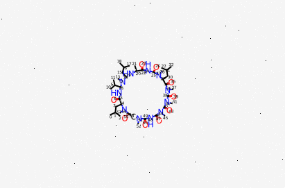 CC(C)CC1C(=O)NC(C(C)C)N(C)C(CC(C)C)NC(C)C(=O)NC(=O)N(C)C(CC(C)C)C(=O)N(C)C(=O)N(C)C(=O)N(C)C(=O)NC(=O)N(C)CC(=O)N1C